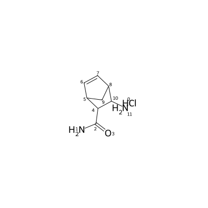 Cl.NC(=O)C1C2C=CC(C2)C1N